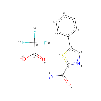 NC(=O)c1ncc(-c2ccccc2)s1.O=C(O)C(F)(F)F